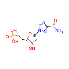 NC(=O)c1ncn([C@H]2C[C@H](O)[C@@H](CCP(=O)(O)O)O2)n1